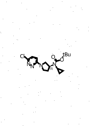 CC(C)(C)OC(=O)N(C1CC1)[C@H]1CCN(c2ccc(Cl)nn2)C1